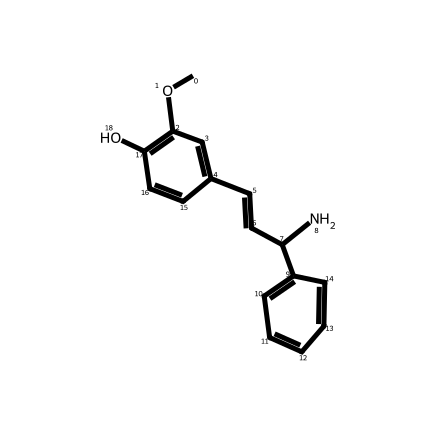 COc1cc(C=CC(N)c2ccccc2)ccc1O